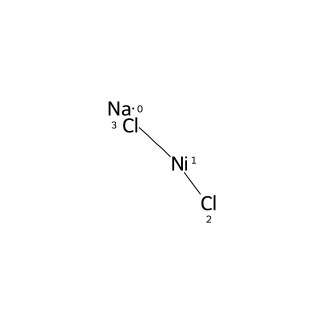 [Cl][Ni][Cl].[Na]